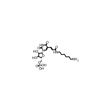 NCCCCCCNC(=O)/C=C/c1cn([C@@H]2O[C@H](COP(=O)(O)O)C(O)C2O)c(=O)[nH]c1=O